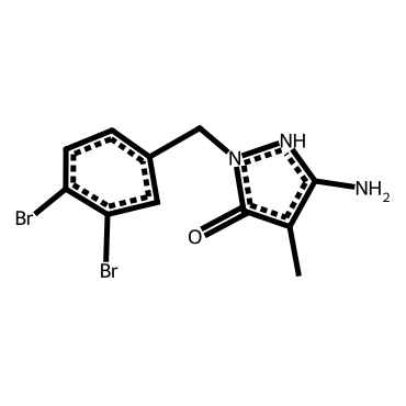 Cc1c(N)[nH]n(Cc2ccc(Br)c(Br)c2)c1=O